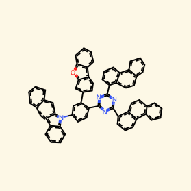 c1ccc2cc3c(cc2c1)c1ccccc1n3-c1ccc(-c2nc(-c3cccc4c3ccc3ccccc34)nc(-c3cccc4c3ccc3ccccc34)n2)c(-c2ccc3c(c2)oc2ccccc23)c1